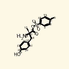 Cc1ccc(S(=O)(=O)OC(=O)[C@@](C)(N)Cc2ccc(O)cc2)cc1